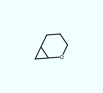 C1COC2CC2C1